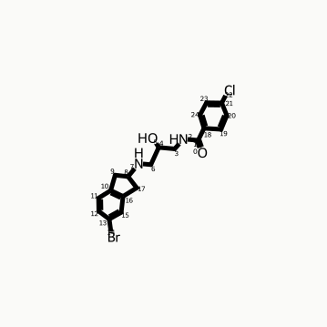 O=C(NCC(O)CNC1Cc2ccc(Br)cc2C1)c1ccc(Cl)cc1